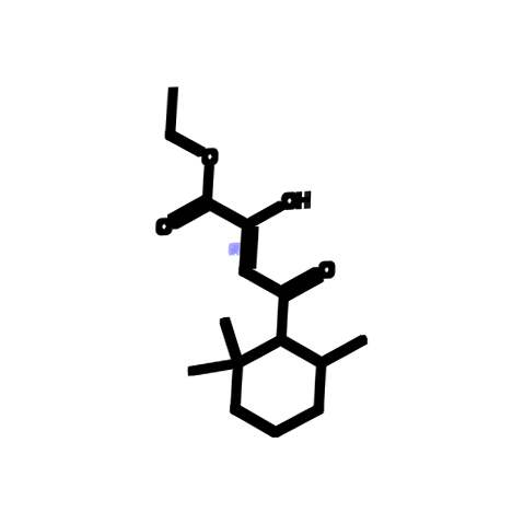 CCOC(=O)/C(O)=C/C(=O)C1C(C)CCCC1(C)C